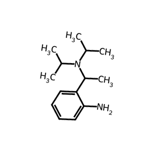 CC(C)N(C(C)C)C(C)c1ccccc1N